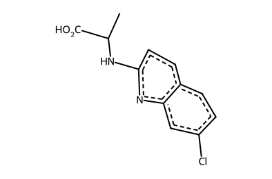 CC(Nc1ccc2ccc(Cl)cc2n1)C(=O)O